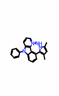 Cc1cc(C)n2[nH][n+]3cccc4c3c3c(cccc3n4-c3ccccc3)c12